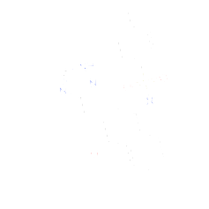 Cc1ccc(S(=O)(=O)/N=C2\CC(Cc3nc[nH]n3)C(=O)c3ccccc32)cc1